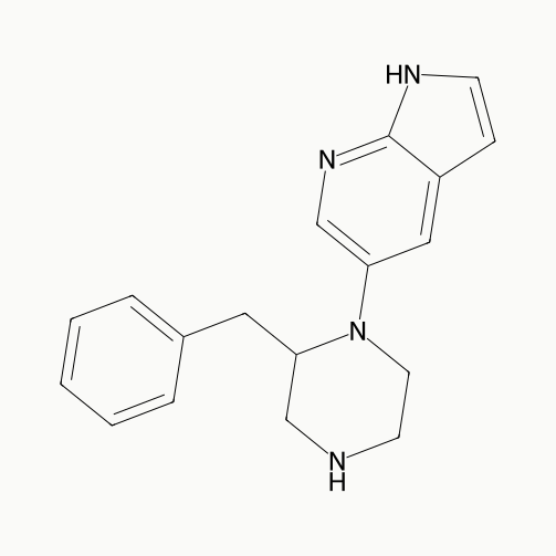 c1ccc(CC2CNCCN2c2cnc3[nH]ccc3c2)cc1